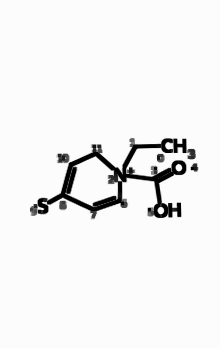 CC[N+]1(C(=O)O)C=CC([S])=CC1